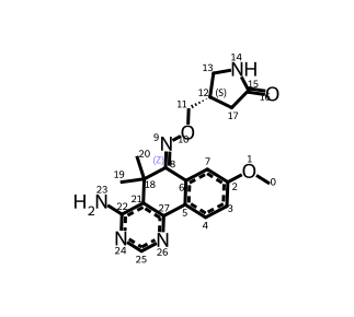 COc1ccc2c(c1)/C(=N\OC[C@@H]1CNC(=O)C1)C(C)(C)c1c(N)ncnc1-2